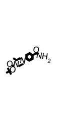 CC1CN(c2ccc(C(N)=O)cc2)CCN1C(=O)OC(C)(C)C